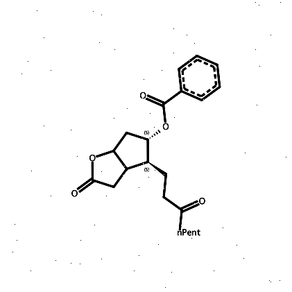 CCCCCC(=O)CC[C@H]1C2CC(=O)OC2C[C@@H]1OC(=O)c1ccccc1